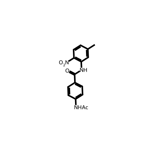 CC(=O)Nc1ccc(C(=O)Nc2cc(C)ccc2[N+](=O)[O-])cc1